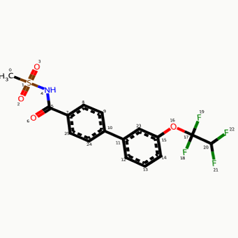 CS(=O)(=O)NC(=O)c1ccc(-c2cccc(OC(F)(F)C(F)F)c2)cc1